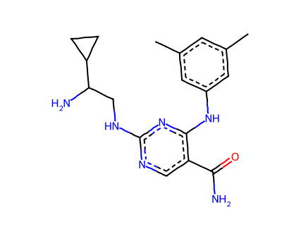 Cc1cc(C)cc(Nc2nc(NCC(N)C3CC3)ncc2C(N)=O)c1